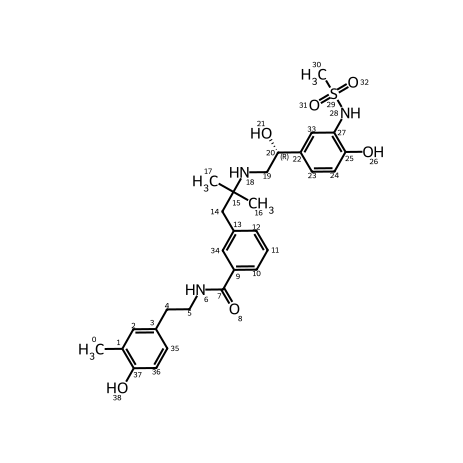 Cc1cc(CCNC(=O)c2cccc(CC(C)(C)NC[C@H](O)c3ccc(O)c(NS(C)(=O)=O)c3)c2)ccc1O